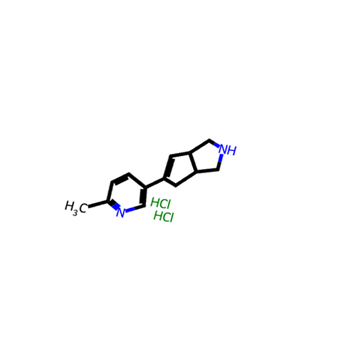 Cc1ccc(C2=CC3CNCC3C2)cn1.Cl.Cl